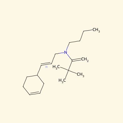 C=C(N(C/C=C/C1CC=CCC1)CCCC)C(C)(C)C